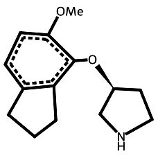 COc1ccc2c(c1O[C@H]1CCNC1)CCC2